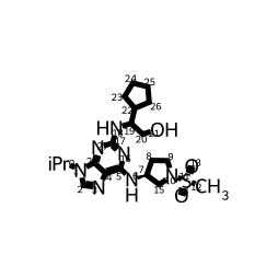 CC(C)n1cnc2c(N[C@H]3CCN(S(C)(=O)=O)C3)nc(NC(CO)C3CCCC3)nc21